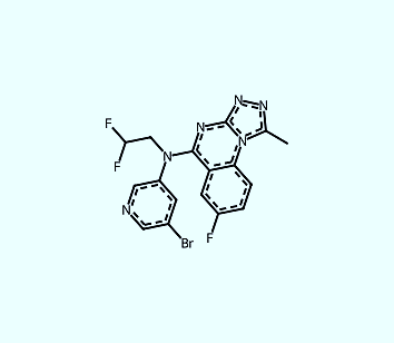 Cc1nnc2nc(N(CC(F)F)c3cncc(Br)c3)c3cc(F)ccc3n12